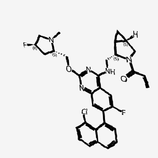 C=CC(=O)N1C[C@H]2CC2[C@H]1CNc1nc(OC[C@@H]2C[C@@H](F)CN2C)nc2cc(-c3cccc4cccc(Cl)c34)c(F)cc12